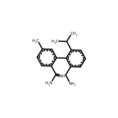 Cc1ccc(C(=N)N)c(-c2c(CN)cccc2C(C)C)c1